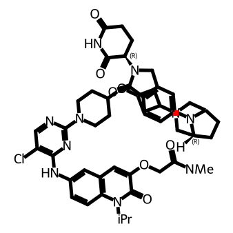 CNC(=O)COc1cc2cc(Nc3nc(N4CCC(OC5CC(N6CC7CC[C@H](C6)N7c6ccc7c(c6)CN([C@@H]6CCC(=O)NC6=O)C7=O)C5)CC4)ncc3Cl)ccc2n(C(C)C)c1=O